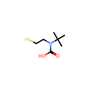 CC(C)(C)N(CCS)C(=O)O